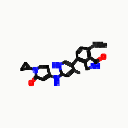 CNc1ccc(C2=CNC(Nc3ccn(C4CC4)c(=O)c3)C=C2C)c2c1C(=O)NC2